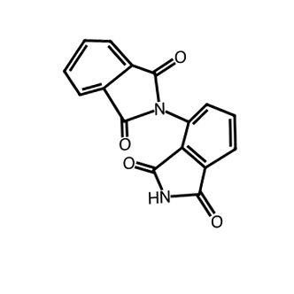 O=C1NC(=O)c2c1cccc2N1C(=O)c2ccccc2C1=O